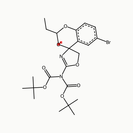 CCC1Oc2ccc(Br)cc2C2(COC(N(C(=O)OC(C)(C)C)C(=O)OC(C)(C)C)=N2)C12COC2